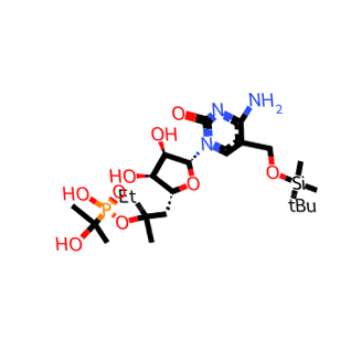 CCC(C)(C[C@H]1O[C@@H](n2cc(CO[Si](C)(C)C(C)(C)C)c(N)nc2=O)[C@H](O)[C@@H]1O)OP(=O)(O)C(C)(C)O